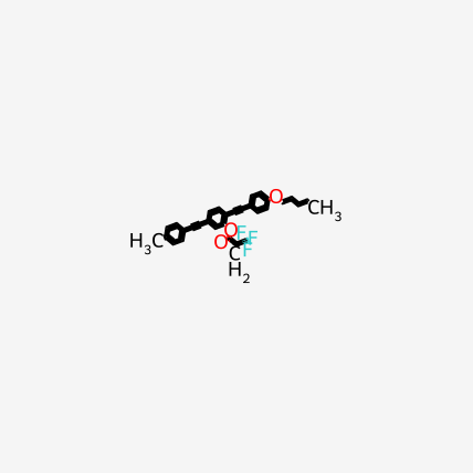 C=C(C(=O)Oc1cc(C#Cc2ccc(C)cc2)ccc1C#Cc1ccc(OCCCCC)cc1)C(F)(F)F